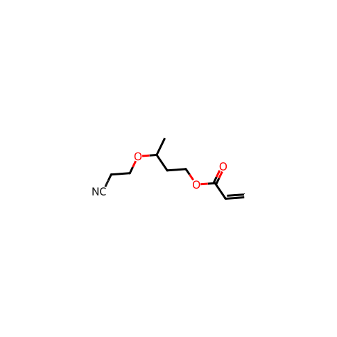 C=CC(=O)OCCC(C)OCCC#N